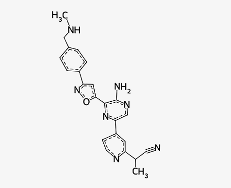 CNCc1ccc(-c2cc(-c3nc(-c4ccnc(C(C)C#N)c4)cnc3N)on2)cc1